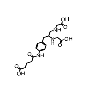 O=C(O)CCCC(=O)Nc1ccc(CC(CNCC(=O)O)NCC(=O)O)cc1